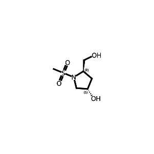 CS(=O)(=O)N1C[C@@H](O)C[C@@H]1CO